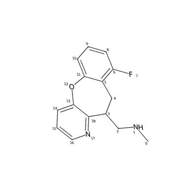 CNCC1Cc2c(F)cccc2Oc2cccnc21